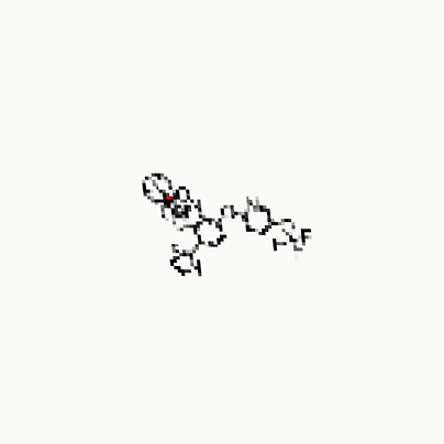 O=C(O)N1C2CC1CN(c1nc3c(Oc4ccc(OC(F)(F)F)cn4)ccc(-c4nccs4)c3o1)C2